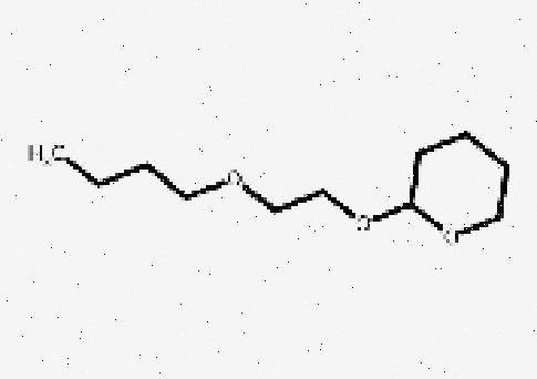 CCCCOCCOC1CCCCO1